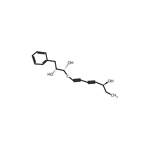 CC[C@H](O)C#CC#CC[C@@H](O)[C@H](O)Cc1ccccc1